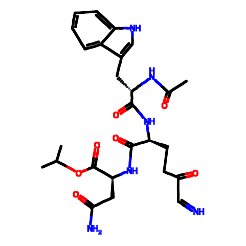 CC(=O)N[C@@H](Cc1c[nH]c2ccccc12)C(=O)N[C@@H](CCC(=O)C=N)C(=O)N[C@@H](CC(N)=O)C(=O)OC(C)C